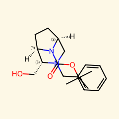 CC(C)(C)OC(=O)N1[C@H]2CC[C@@H]1[C@@H](CO)N(Cc1ccccc1)C2